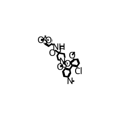 COc1ccc(Cl)c(-c2cc(N(C)C)ccc2S(=O)(=O)N2CCC(F)(C(=O)N[C@@H](C)/C=C\S(C)(=O)=O)CC2)c1